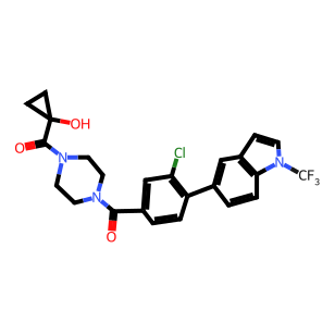 O=C(c1ccc(-c2ccc3c(ccn3C(F)(F)F)c2)c(Cl)c1)N1CCN(C(=O)C2(O)CC2)CC1